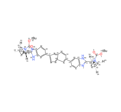 CC(C)(C)OC(=O)N1[C@H](c2nc3ccc(-c4ccc5cc(-c6ccc7nc([C@@H]8C9[C@@H]%10[C@H](N8C(=O)OC(C)(C)C)[C@]9%10C)[nH]c7c6)ccc5c4)cc3[nH]2)C2[C@@H]3[C@H]1[C@]23C